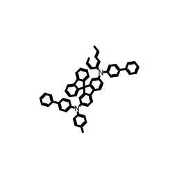 C\C=C/C(=C\C=C\C)N(c1ccc(-c2ccccc2)cc1)c1ccc2c(c1)C1(c3ccccc3-c3ccccc31)c1cc(N(c3ccc(C)cc3)c3ccc(-c4ccccc4)cc3)ccc1-2